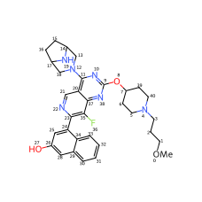 COCCCN1CCC(Oc2nc(N3CC4CCC(C3)N4)c3cnc(-c4cc(O)cc5ccccc45)c(F)c3n2)CC1